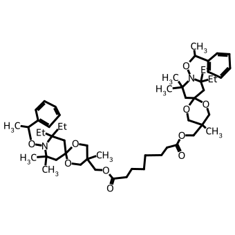 CCC1(CC)CC2(CC(C)(C)N1OC(C)c1ccccc1)OCC(C)(COC(=O)CCCCCCC(=O)OCC1(C)COC3(CC(C)(C)N(OC(C)c4ccccc4)C(CC)(CC)C3)OC1)CO2